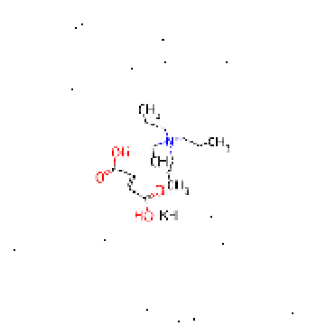 CCC[N+](CC)(CCC)CCC.O=C(O)/C=C/C(=O)O.[KH]